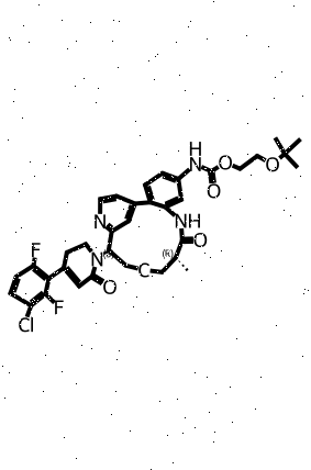 C[C@@H]1CCC[C@H](N2CCC(c3c(F)ccc(Cl)c3F)=CC2=O)c2cc(ccn2)-c2ccc(NC(=O)OCCOC(C)(C)C)cc2NC1=O